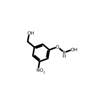 O=[N+]([O-])c1cc(CO)cc(OBO)c1